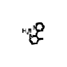 B.C=C1CC=CN=C1c1ccccn1